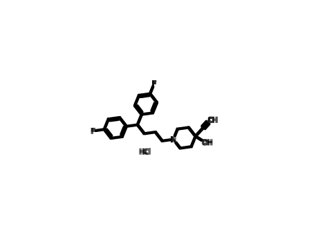 C#CC1(O)CCN(CCCC(c2ccc(F)cc2)c2ccc(F)cc2)CC1.Cl